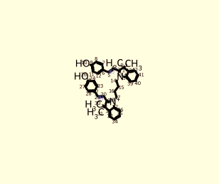 CC1(C)C(/C=C/c2ccc(O)cc2)=[N+](CCCC[N+]2=C(/C=C/c3ccc(O)cc3)C(C)(C)c3ccccc32)c2ccccc21